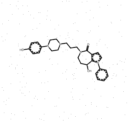 O=C1c2ccn(-c3ccccc3)c2C(O)CCN1CCCN1CCN(c2ccc(O)cc2)CC1